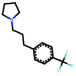 FC(F)(F)c1ccc(CCCN2CCCC2)cc1